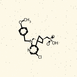 COc1ccc(CN2C[C@]3(C[C@H](CS(=O)(=O)O)C3)c3cc(Cl)cnc32)cc1